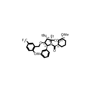 CC[C@@]1(C(=O)O)[C@@H](C(C)(C)C)[C@H](OCc2cc(C(F)(F)F)ccc2OC)[C@H](c2ccccc2)N1C(=O)[C@@H]1CCC[C@@H](OC)C1